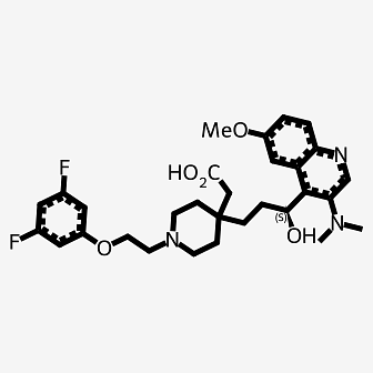 COc1ccc2ncc(N(C)C)c([C@@H](O)CCC3(CC(=O)O)CCN(CCOc4cc(F)cc(F)c4)CC3)c2c1